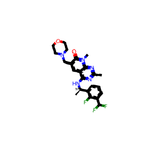 Cc1nc(N[C@H](C)c2cccc(C(F)F)c2F)c2cc(CN3CCOCC3)c(=O)n(C)c2n1